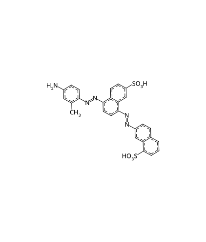 Cc1cc(N)ccc1N=Nc1ccc(N=Nc2ccc3cccc(S(=O)(=O)O)c3c2)c2cc(S(=O)(=O)O)ccc12